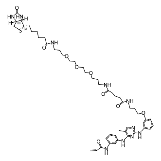 C=CC(=O)Nc1cccc(Nc2nc(Nc3cccc(OCCCNC(=O)CCCC(=O)NCCCOCCOCCOCCCNC(=O)CCCCC[C@@H]4SC[C@@H]5NC(=O)N[C@@H]54)c3)ncc2C)c1